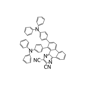 N#Cc1nc2c3ccccc3c3ccc(-c4ccc(N(c5ccccc5)c5ccccc5)cc4)c(-c4ccc(N(c5ccccc5)c5ccccc5)cc4)c3c2nc1C#N